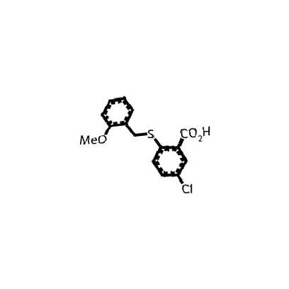 COc1ccccc1CSc1ccc(Cl)cc1C(=O)O